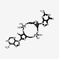 Nc1nc2c(nnn2C2=C3O[PH](O)(S)OCc4oc(N5N=NC6C5NCN[C@H]6N)c(F)c4O[PH](O)(O)O/C=C(/O2)[C@@H]3F)c(=O)[nH]1